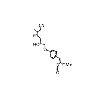 COC(=Cc1ccc(OCC(O)CNC(C)CC#N)cc1)N=C=O